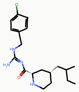 CCC(C)C[C@@H]1CCN[C@H](C(=O)/N=C(\N)NCc2ccc(Cl)cc2)C1